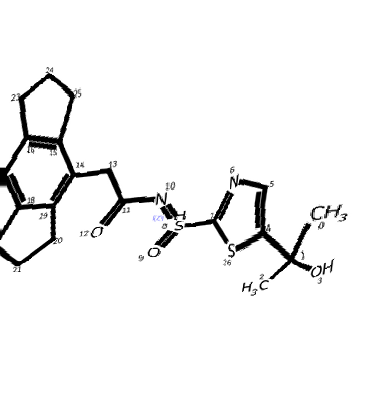 CC(C)(O)c1cnc(/[SH](=O)=N/C(=O)Cc2c3c(cc4c2CCC4)CCC3)s1